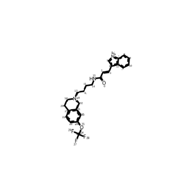 O=C(C=Cc1c[nH]c2ccccc12)NCCCCN1CCc2ccc(OC(F)(F)F)cc2C1